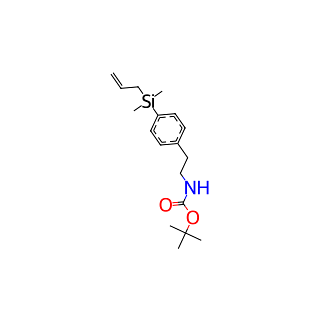 C=CC[Si](C)(C)c1ccc(CCNC(=O)OC(C)(C)C)cc1